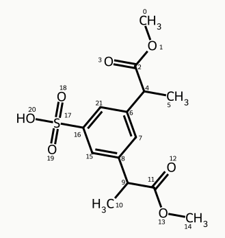 COC(=O)C(C)c1cc(C(C)C(=O)OC)cc(S(=O)(=O)O)c1